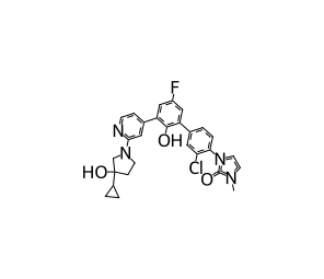 Cn1ccn(-c2ccc(-c3cc(F)cc(-c4ccnc(N5CCC(O)(C6CC6)C5)c4)c3O)cc2Cl)c1=O